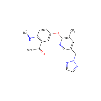 CC[C@H](C)Nc1ccc(Oc2ncc(Cn3nccn3)cc2C(F)(F)F)cc1C(=O)OC